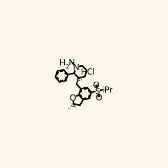 CC(C)S(=O)(=O)c1cc(C[C@@H]2CCCN(N)C2c2ccccc2)c2c(c1)C[C@H](C)O2.Cl